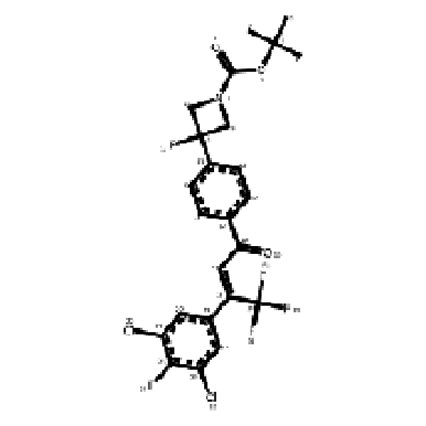 CC(C)(C)OC(=O)N1CC(F)(c2ccc(C(=O)/C=C(/c3cc(Cl)c(F)c(Cl)c3)C(F)(F)F)cc2)C1